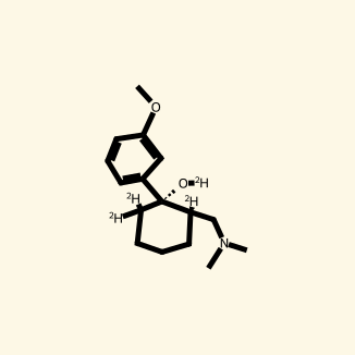 [2H]O[C@@]1(c2cccc(OC)c2)C([2H])([2H])CCC[C@@]1([2H])CN(C)C